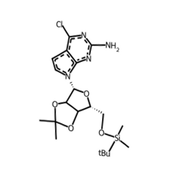 CC1(C)OC2C(O1)[C@@H](CO[Si](C)(C)C(C)(C)C)O[C@H]2n1ccc2c(Cl)nc(N)nc21